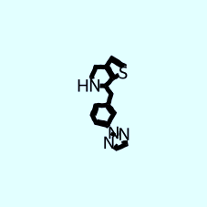 c1cc(CC2NCCc3ccsc32)cc(-n2nccn2)c1